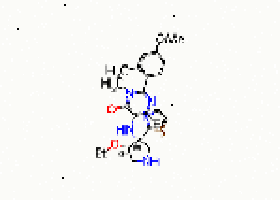 CCO[C@H]1CNC[C@]1(Nc1c(CC)nc(-c2ccc(OC)cc2C)n(C)c1=O)c1nccs1